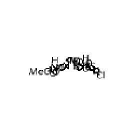 COC(=O)C(C)NC(=O)N1CCN(C[C@@H]2CCCN2C(=O)CN2CCC[C@H](NS(=O)(=O)c3cc4cc(Cl)ccc4s3)C2=O)CC1